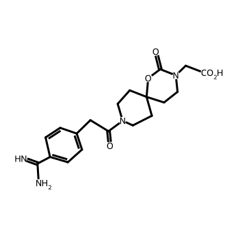 N=C(N)c1ccc(CC(=O)N2CCC3(CC2)CCN(CC(=O)O)C(=O)O3)cc1